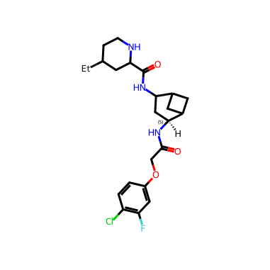 CCC1CCNC(C(=O)NC2C[C@H](NC(=O)COc3ccc(Cl)c(F)c3)C3CC2C3)C1